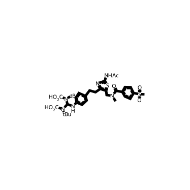 CC(=O)Nc1nc(CCc2ccc(NC(N(C(=O)O)C(C)(C)C)N(C(=O)O)C(C)(C)C)cc2)c(CN(C)C(=O)c2ccc(S(C)(=O)=O)cc2)s1